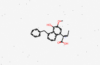 C/C=C(/C(=O)O)c1cc(OC)c(O)c2c(Cc3ccccc3)cccc12